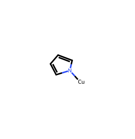 [Cu][n]1cccc1